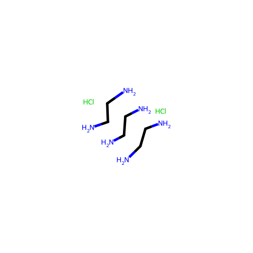 Cl.Cl.NCCN.NCCN.NCCN